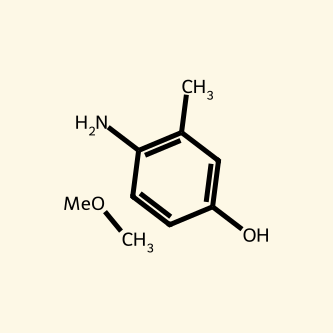 COC.Cc1cc(O)ccc1N